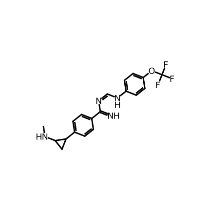 CNC1CC1c1ccc(C(=N)/N=C\Nc2ccc(OC(F)(F)F)cc2)cc1